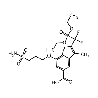 CCOP(=O)(OCC)C(F)(F)c1sc2c(OCCCS(N)(=O)=O)cc(C(=O)O)cc2c1C